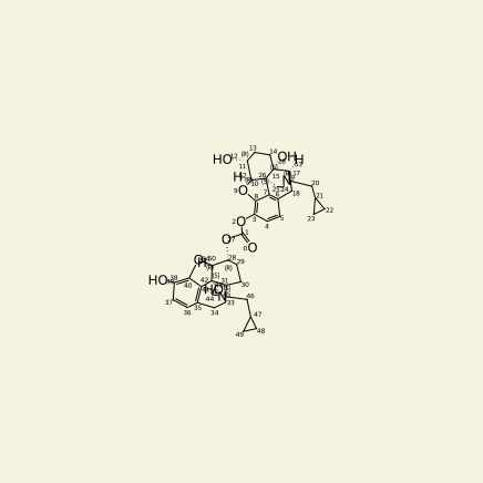 O=C(Oc1ccc2c3c1O[C@H]1[C@H](O)CC[C@@]4(O)[C@@H](C2)N(CC2CC2)CC[C@]314)O[C@@H]1CC[C@@]2(O)C3Cc4ccc(O)c5c4[C@@]2(CCN3CC2CC2)[C@H]1O5